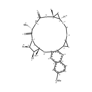 CC[C@@H]1[C@@H]2CN(C(=O)[C@H](C(C)(C)C)NC(=O)O[C@]3(C)C[C@H]3CCCC3CC3c3nc4ccc(OC)cc4nc3O2)[C@@H]1C(C)=O